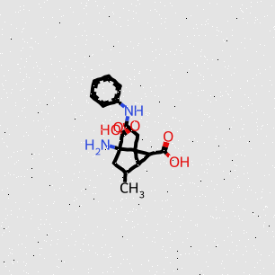 CC1CC(N)(C(=O)O)C2(CC(=O)Nc3ccccc3)C(C(=O)O)C12